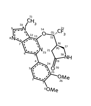 COc1ccc(-c2cc3ncn(C)c3c(O[C@@H]([C@H]3CNC(=O)C3)C(F)(F)F)n2)cc1OC